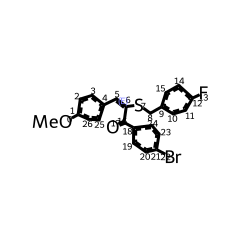 COc1ccc(/C=C(/SCc2ccc(F)cc2)C(=O)c2ccc(Br)cc2)cc1